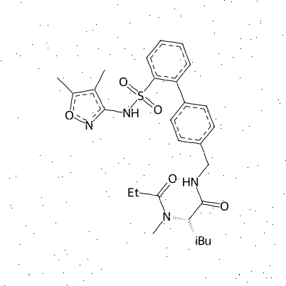 CCC(=O)N(C)[C@H](C(=O)NCc1ccc(-c2ccccc2S(=O)(=O)Nc2noc(C)c2C)cc1)[C@@H](C)CC